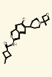 CC1CC(C(=O)Nc2cc3cc(C4CCN(C5(C)COC5)CC4)c(Cl)cc3cn2)C1